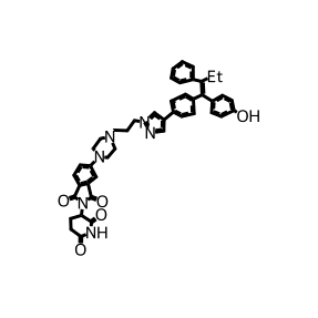 CC/C(=C(\c1ccc(O)cc1)c1ccc(-c2cnn(CCCN3CCN(c4ccc5c(c4)C(=O)N(C4CCC(=O)NC4=O)C5=O)CC3)c2)cc1)c1ccccc1